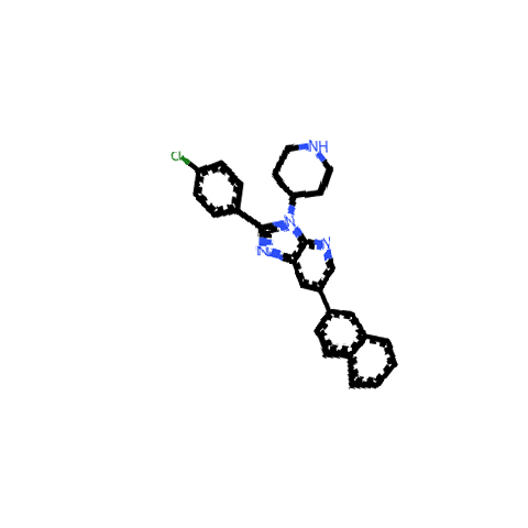 Clc1ccc(-c2nc3cc(-c4ccc5ccccc5c4)cnc3n2C2CCNCC2)cc1